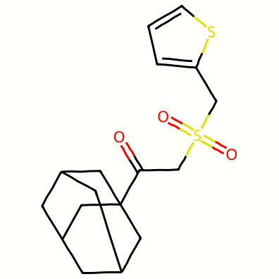 O=C(CS(=O)(=O)Cc1cccs1)C12CC3CC(CC(C3)C1)C2